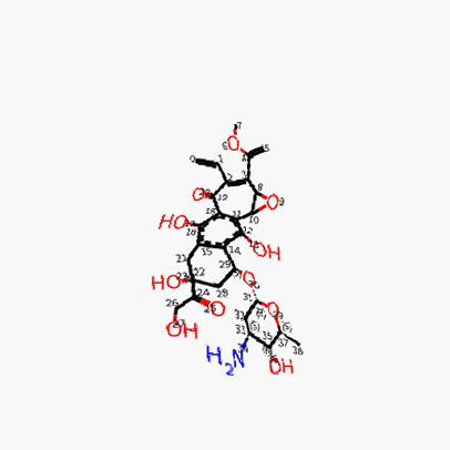 C=CC1=C(C(=C)OC)C2OC2c2c(O)c3c(c(O)c2C1=O)C[C@@](O)(C(=O)CO)C[C@@H]3O[C@H]1C[C@H](N)[C@@H](O)[C@H](C)O1